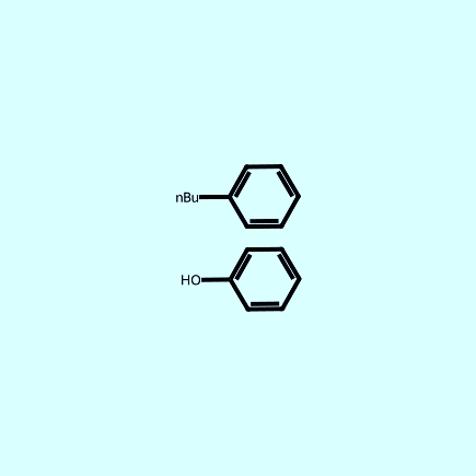 CCCCc1ccccc1.Oc1ccccc1